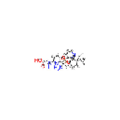 CCC1(c2ccc(CC(N)(c3cccc(NCC(=O)O)n3)S(=O)(=O)c3cccnc3)cc2)CC1